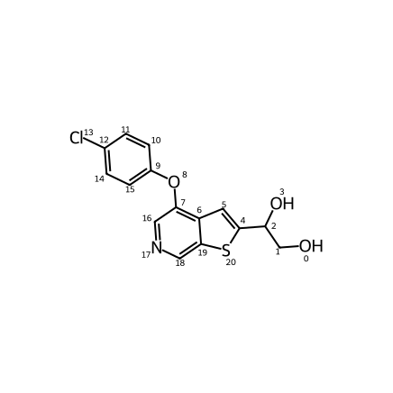 OCC(O)c1cc2c(Oc3ccc(Cl)cc3)cncc2s1